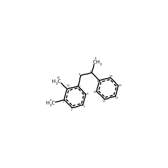 Cc1cccc(CC(C)c2ccccc2)c1C